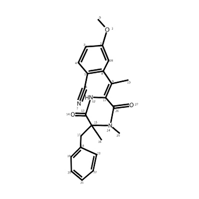 COc1ccc(C#N)c(C(C)=C2NC(=O)C(C)(Cc3ccccc3)N(C)C2=O)c1